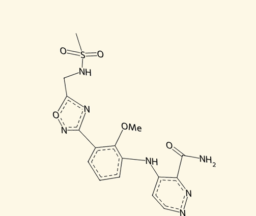 COc1c(Nc2ccnnc2C(N)=O)cccc1-c1noc(CNS(C)(=O)=O)n1